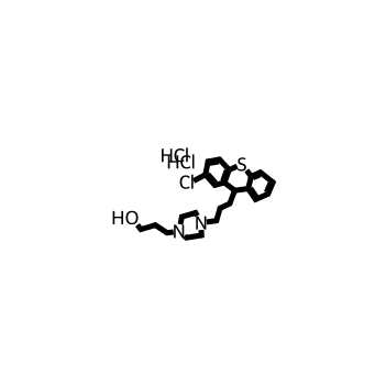 Cl.Cl.OCCCN1CCN(CCCC2c3ccccc3Sc3ccc(Cl)cc32)CC1